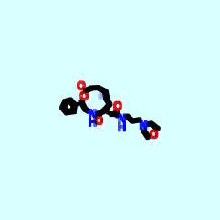 O=C(C[C@@H]1C/C=C/CCC(=O)O[C@H](c2ccccc2)CNC1=O)NCCCN1CCOCC1